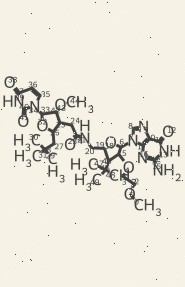 COCCOC1C(n2cnc3c(=O)[nH]c(N)nc32)OC(CNC(=O)CC2C(CC(C)(C)C)OC(n3ccc(=O)[nH]c3=O)C2OC)C1C(C)(C)C